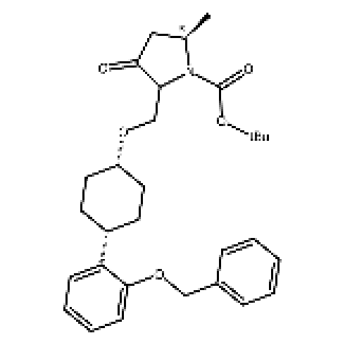 C[C@@H]1CC(=O)C(CO[C@H]2CC[C@@H](c3ccccc3OCc3ccccc3)CC2)N1C(=O)OC(C)(C)C